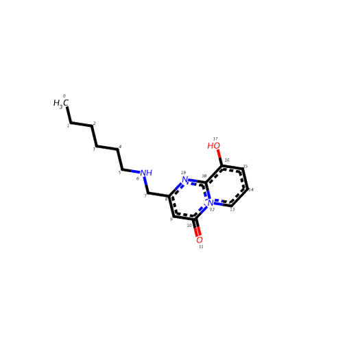 CCCCCCNCc1cc(=O)n2cccc(O)c2n1